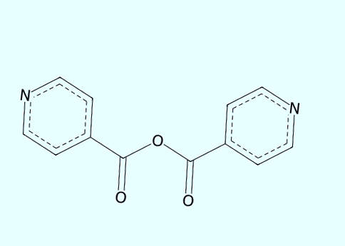 O=C(OC(=O)c1ccncc1)c1ccncc1